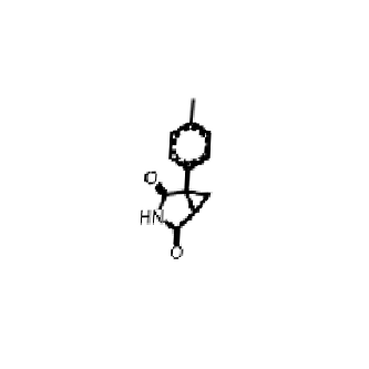 Cc1ccc(C23CC2C(=O)NC3=O)cc1